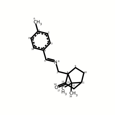 Cc1ccc(C=NCC23CCC(CC2=O)C3(C)C)cc1